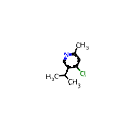 Cc1cc(Cl)c(C(C)C)cn1